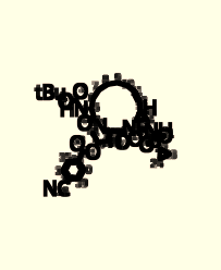 CC(C)(C)OC(=O)N[C@H]1CCCCC/C=C\[C@@H]2C[C@@]2(C(=O)NS(=O)(=O)C2CC2)NC(=O)[C@@H]2C[C@@H](OC(=O)c3ccc(C#N)cc3)CN2C1=O